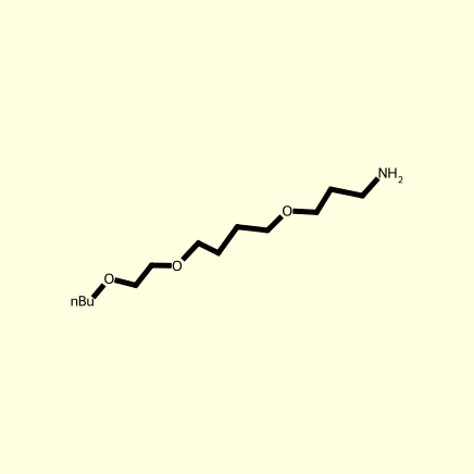 CCCCOCCOCCCCOCCCN